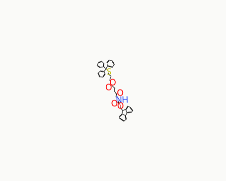 O=C(CCC(=O)OCCCSC(c1ccccc1)(c1ccccc1)c1ccccc1)CNC(=O)OCC1c2ccccc2-c2ccccc21